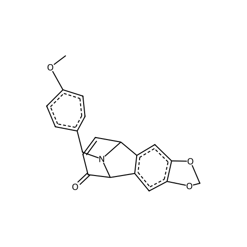 COc1ccc(CN2C3C=CC(=O)C2c2cc4c(cc23)OCO4)cc1